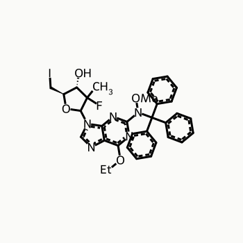 CCOc1nc(N(OC)C(c2ccccc2)(c2ccccc2)c2ccccc2)nc2c1ncn2C1O[C@@H](CI)[C@H](O)C1(C)F